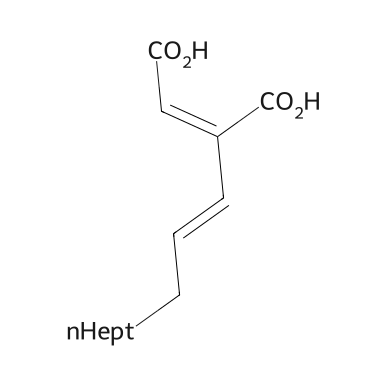 CCCCCCCCC=C/C(=C/C(=O)O)C(=O)O